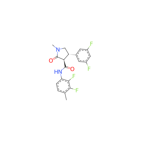 Cc1ccc(NC(=O)[C@H]2C(=O)N(C)C[C@@H]2c2cc(F)cc(F)c2)c(F)c1F